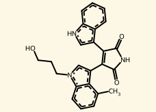 Cc1cccc2c1c(C1=C(c3c[nH]c4ccccc34)C(=O)NC1=O)cn2CCCO